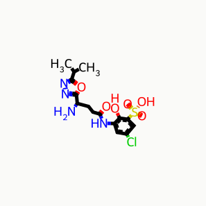 CC(C)c1nnc(C(N)CCC(=O)Nc2cc(Cl)cc(S(=O)(=O)O)c2O)o1